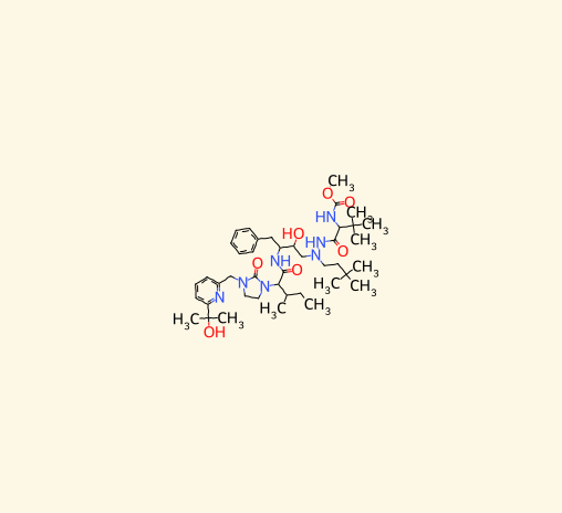 CCC(C)C(C(=O)NC(Cc1ccccc1)C(O)CN(CCC(C)(C)C)NC(=O)C(NC(=O)OC)C(C)(C)C)N1CCN(Cc2cccc(C(C)(C)O)n2)C1=O